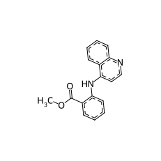 COC(=O)c1ccccc1Nc1ccnc2ccccc12